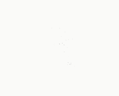 NCCCCN(O)C(=O)CCC(=O)O